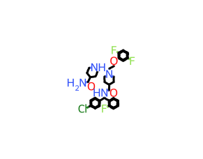 NC(=O)C1CCNCC1.O=C(NC(c1ccc(Cl)cc1)c1ccccc1F)C1CCN(CCOc2cc(F)ccc2F)CC1